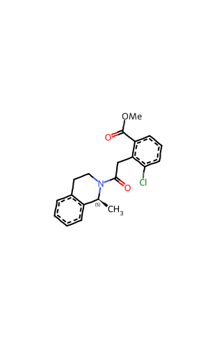 COC(=O)c1cccc(Cl)c1CC(=O)N1CCc2ccccc2[C@@H]1C